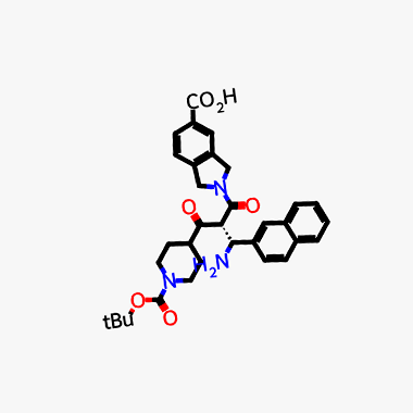 CC(C)(C)OC(=O)N1CCC(C(=O)[C@H](C(=O)N2Cc3ccc(C(=O)O)cc3C2)C(N)c2ccc3ccccc3c2)CC1